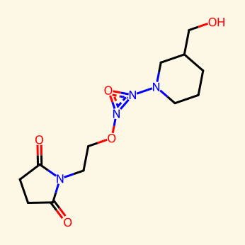 O=C1CCC(=O)N1CCOn1on1N1CCCC(CO)C1